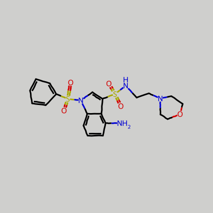 Nc1cccc2c1c(S(=O)(=O)NCCN1CCOCC1)cn2S(=O)(=O)c1ccccc1